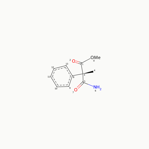 COC(=O)[C@](C)(C(N)=O)c1ccccc1